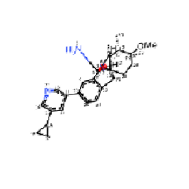 [2H]C1([2H])OC(N)=N[C@]12c1cc(-c3cncc(C4CC4)c3)ccc1C[C@@]21CC[C@H](OC)[C@@H](C)C1